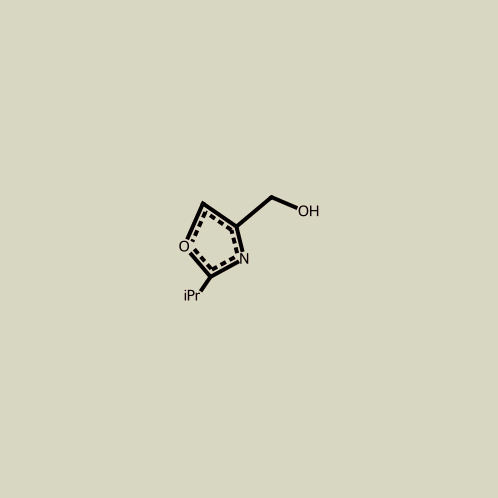 CC(C)c1nc(CO)co1